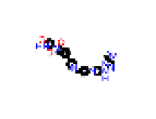 Cn1ncc2nc(NC3CCN(c4ccc(CN5CCC(c6ccc7c(c6)CN(C6CCC(=O)NC6=O)C7=O)CC5)cc4)CC3)ncc21